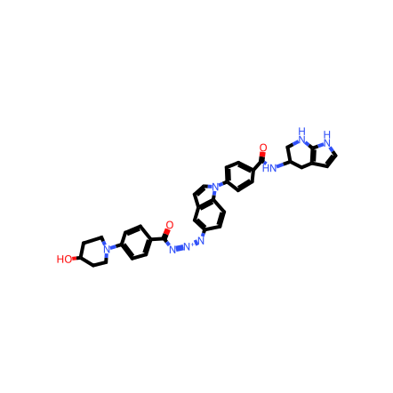 O=C(N=[N+]=Nc1ccc2c(ccn2-c2ccc(C(=O)NC3CNc4[nH]ccc4C3)cc2)c1)c1ccc(N2CCC(O)CC2)cc1